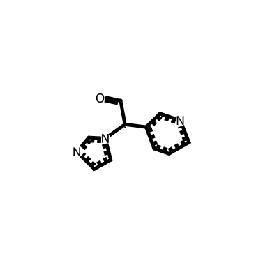 O=C[C](c1cccnc1)n1ccnc1